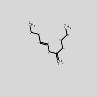 C=C(CC=CCCC)CCCC